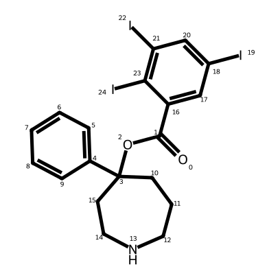 O=C(OC1(c2ccccc2)CCCNCC1)c1cc(I)cc(I)c1I